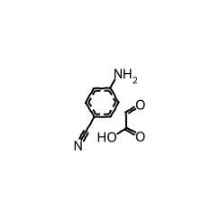 N#Cc1ccc(N)cc1.O=CC(=O)O